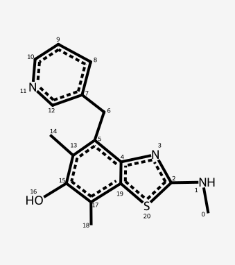 CNc1nc2c(Cc3cccnc3)c(C)c(O)c(C)c2s1